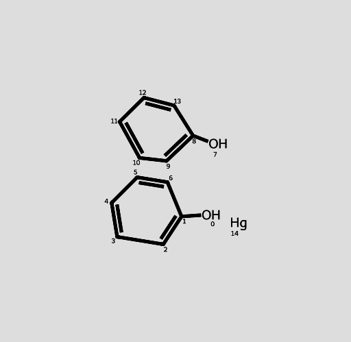 Oc1ccccc1.Oc1ccccc1.[Hg]